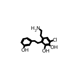 NCCc1cc(Cl)c(O)c(O)c1CCc1cccc(O)c1